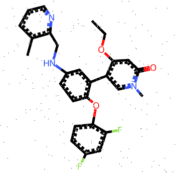 CCOc1cc(=O)n(C)cc1-c1cc(NCc2ncccc2C)ccc1Oc1ccc(F)cc1F